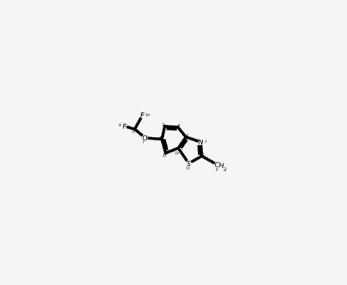 Cc1nc2ccc(OC(F)F)cc2s1